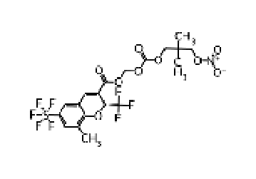 Cc1cc(S(F)(F)(F)(F)F)cc2c1O[C@H](C(F)(F)F)C(C(=O)OCOC(=O)OCC(C)(C)CO[N+](=O)[O-])=C2